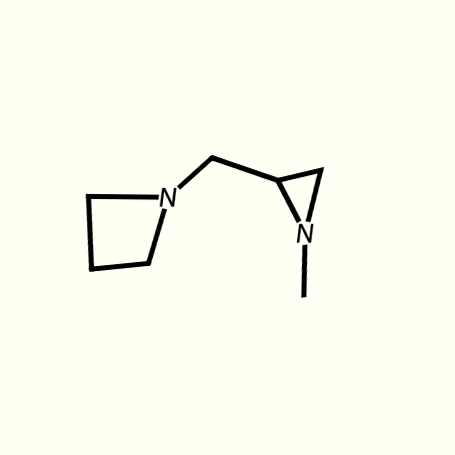 CN1CC1CN1CCC1